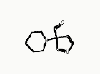 O=CC1(N2CCCCC2)C=CN=N1